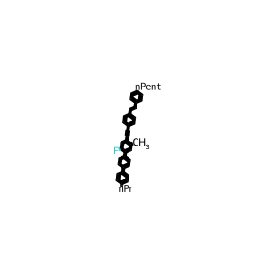 CCCCCc1ccc(CCc2ccc(C#Cc3cc(F)c(-c4ccc(-c5ccc(CCC)cc5)cc4)cc3C)cc2)cc1